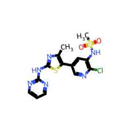 Cc1nc(Nc2ncccn2)sc1-c1cnc(Cl)c(NS(C)(=O)=O)c1